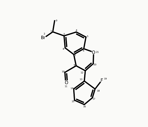 CC(Br)c1ccc2c(c1)C(C=O)C(c1ccccc1F)=CO2